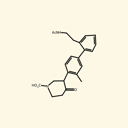 CC(=O)NCCc1ccccc1-c1ccc(C2CN(C(=O)O)CCC2=O)c(C)c1